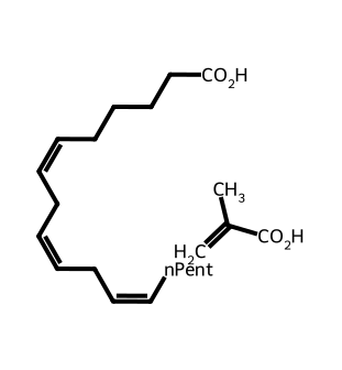 C=C(C)C(=O)O.CCCCC/C=C\C/C=C\C/C=C\CCCCC(=O)O